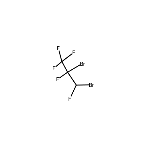 FC(Br)C(F)(Br)C(F)(F)F